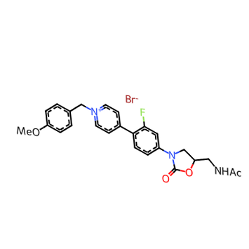 COc1ccc(C[n+]2ccc(-c3ccc(N4CC(CNC(C)=O)OC4=O)cc3F)cc2)cc1.[Br-]